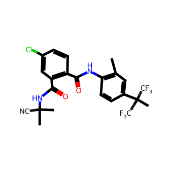 Cc1cc(C(C)(C(F)(F)F)C(F)(F)F)ccc1NC(=O)c1ccc(Cl)cc1C(=O)NC(C)(C)C#N